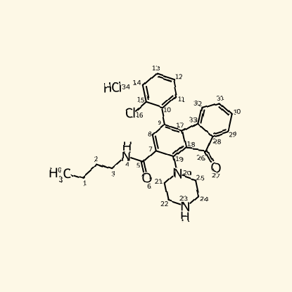 CCCCNC(=O)c1cc(-c2ccccc2Cl)c2c(c1N1CCNCC1)C(=O)c1ccccc1-2.Cl